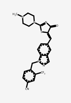 CN1CCN(C2=NC(=O)/C(=C/c3ccc4c(cnn4Cc4ccc(C#N)cc4C(F)(F)F)c3)S2)CC1